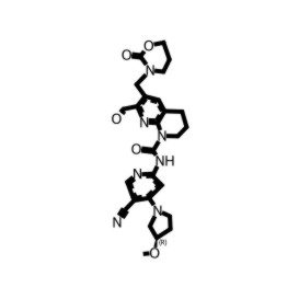 CO[C@@H]1CCN(c2cc(NC(=O)N3CCCc4cc(CN5CCCOC5=O)c(C=O)nc43)ncc2C#N)C1